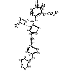 CCOC(=O)Oc1c(C[C@H](CN2CC(C#N)C2)c2ccc(C#Cc3ccc(CN4CCOCC4)cc3)cc2)nc[nH]c1=O